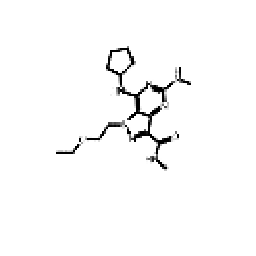 CCOCCn1nc(C(=O)NC)c2nc(NC)nc(NC3CCCC3)c21